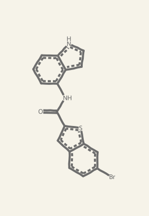 O=C(Nc1cccc2[nH]ccc12)c1cc2ccc(Br)cc2s1